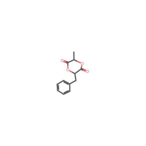 CC1OC(=O)C(Cc2ccccc2)OC1=O